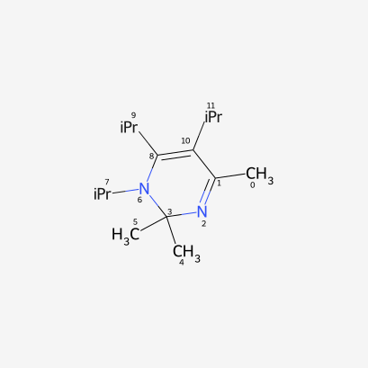 CC1=NC(C)(C)N(C(C)C)C(C(C)C)=C1C(C)C